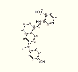 CN(c1ccc(C#N)cc1)c1ccc2c(c1)CCC[C@H]2CNc1cnccc1C(=O)O